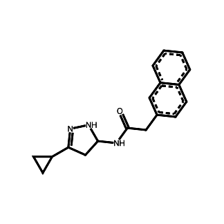 O=C(Cc1ccc2ccccc2c1)NC1CC(C2CC2)=NN1